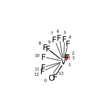 [O]=[V]([F])([F])([F])([F])([F])([F])([F])([F])([F])([F])([F])[F]